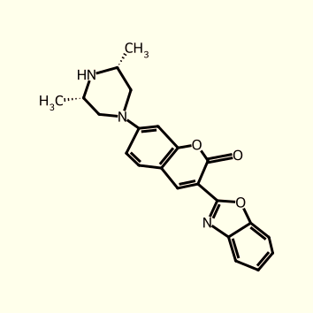 C[C@@H]1CN(c2ccc3cc(-c4nc5ccccc5o4)c(=O)oc3c2)C[C@H](C)N1